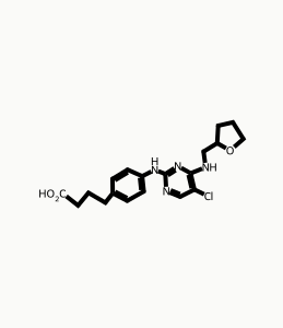 O=C(O)CCCc1ccc(Nc2ncc(Cl)c(NCC3CCCO3)n2)cc1